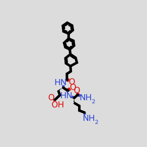 NCCCC[C@H](NC(=O)[C@H](CCC(=O)O)NC(=O)CCC1C=CC(c2ccc(-c3ccccc3)cc2)=CC1)C(N)=O